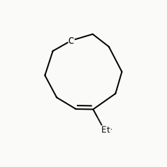 C[CH]/C1=C/CCCCCCCC1